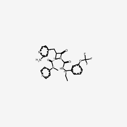 CC[C@@H](NC(=O)N1C(=O)C(Cc2ccnc(N)c2)[C@H]1C(=O)N(C)c1ccncc1)c1cccc(OC(F)(F)F)c1